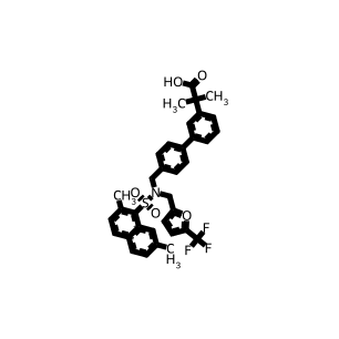 Cc1ccc2ccc(C)c(S(=O)(=O)N(Cc3ccc(-c4cccc(C(C)(C)C(=O)O)c4)cc3)Cc3ccc(C(F)(F)F)o3)c2c1